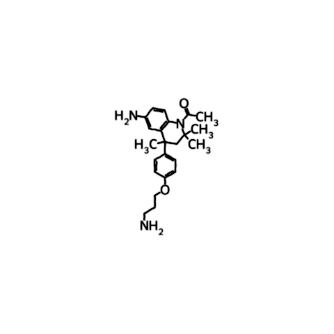 CC(=O)N1c2ccc(N)cc2C(C)(c2ccc(OCCCN)cc2)CC1(C)C